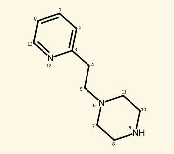 [c]1ccc(CCN2CCNCC2)nc1